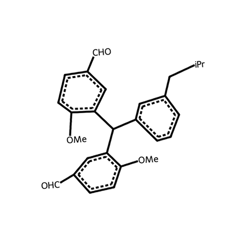 COc1ccc(C=O)cc1C(c1cccc(CC(C)C)c1)c1cc(C=O)ccc1OC